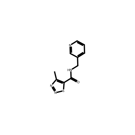 Cc1nnsc1C(=O)NCc1cccnc1